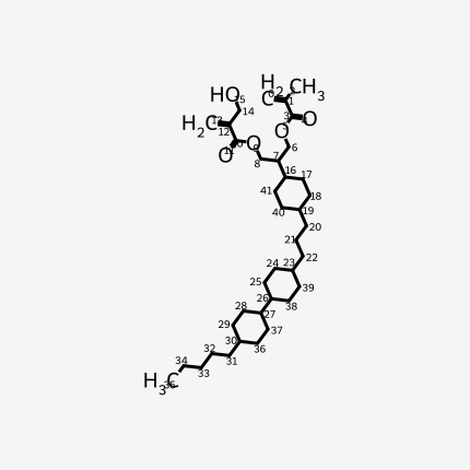 C=C(C)C(=O)OCC(COC(=O)C(=C)CO)C1CCC(CCCC2CCC(C3CCC(CCCCC)CC3)CC2)CC1